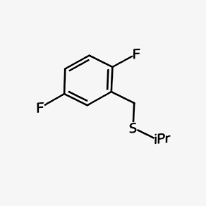 CC(C)SCc1cc(F)ccc1F